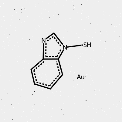 Sn1cnc2ccccc21.[Au]